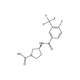 O=C(N[C@H]1CCN(C(=O)O)C1)c1ccc(F)c(C(F)(F)F)c1